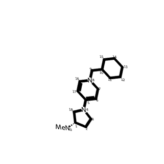 CN[C@H]1CCN(C2=CCN(CC3CCCCC3)C=C2)C1